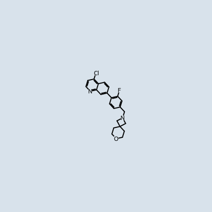 Fc1cc(CN2CC3(CCOCC3)C2)ccc1-c1ccc2c(Cl)ccnc2c1